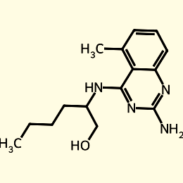 CCCCC(CO)Nc1nc(N)nc2cccc(C)c12